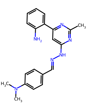 Cc1nc(N/N=C/c2ccc(N(C)C)cc2)cc(-c2ccccc2N)n1